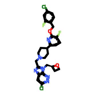 Fc1cc(Cl)ccc1COc1nc(C2CCN(Cc3nc4cc(Cl)nnc4n3C[C@@H]3CCO3)CC2)ccc1F